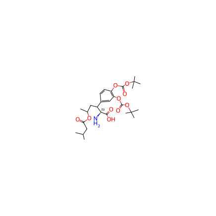 CC(C)CC(=O)OC(C)CC(c1ccc(OC(=O)OC(C)(C)C)c(OC(=O)OC(C)(C)C)c1)[C@H](N)C(=O)O